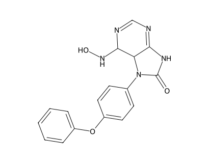 O=C1NC2=NC=NC(NO)C2N1c1ccc(Oc2ccccc2)cc1